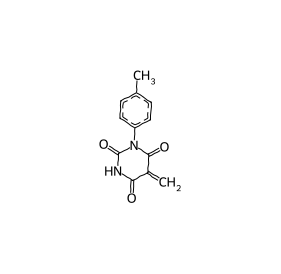 C=C1C(=O)NC(=O)N(c2ccc(C)cc2)C1=O